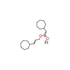 CCO[Si](=CC1CCCCCC1)OCC=CC1CCCCCC1